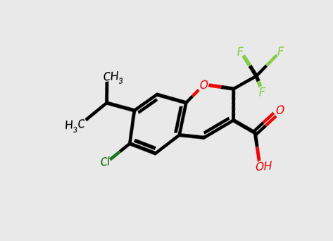 CC(C)c1cc2c(cc1Cl)C=C(C(=O)O)C(C(F)(F)F)O2